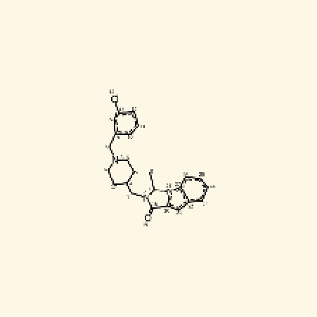 CC1N(CC2CCN(Cc3cccc(Cl)c3)CC2)C(=O)c2cc3ccccc3n21